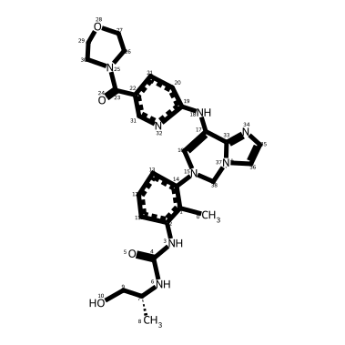 Cc1c(NC(=O)N[C@H](C)CO)cccc1N1C=C(Nc2ccc(C(=O)N3CCOCC3)cn2)C2=NC=C[N+]2C1